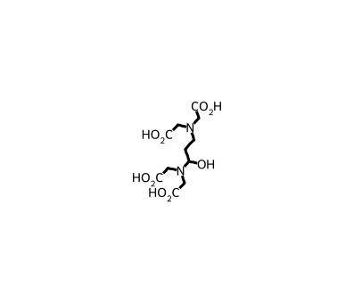 O=C(O)CN(CCC(O)N(CC(=O)O)CC(=O)O)CC(=O)O